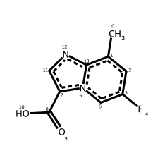 Cc1cc(F)cn2c(C(=O)O)cnc12